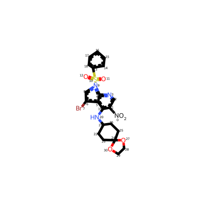 O=[N+]([O-])c1cnc2c(c(Br)cn2S(=O)(=O)c2ccccc2)c1NC1CCC2(CC1)OCCO2